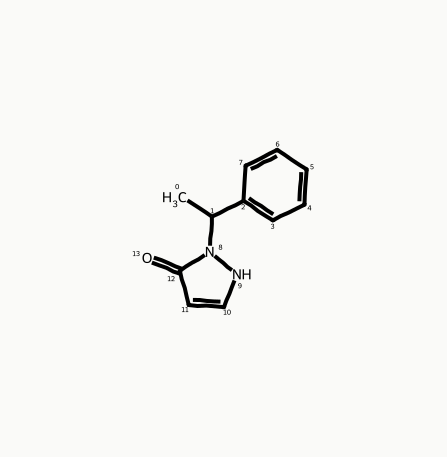 CC(c1ccccc1)n1[nH]ccc1=O